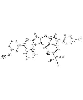 COC1CCCN(C(=O)c2ccccc2-n2cnc(Cn3nc(-c4ccc(Cl)cc4)n(CC(O)C(F)(F)F)c3=O)n2)C1